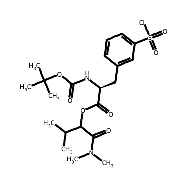 CC(C)C(OC(=O)[C@H](Cc1cccc(S(=O)(=O)Cl)c1)NC(=O)OC(C)(C)C)C(=O)N(C)C